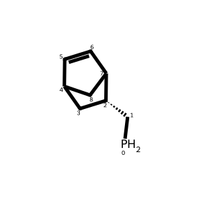 PC[C@@H]1CC2C=CC1C2